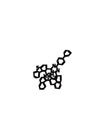 Cc1cc2ccccc2cc1-c1c(C(C)c2c(-c3nc(-c4ccccc4)nc(-c4ccc(-c5ccccc5)cc4)n3)ccc3sc4ccccc4c23)ccc2ccccc12